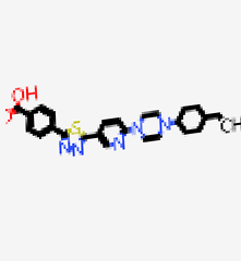 CCC1CCC(N2CCN(c3ccc(-c4nnc(-c5ccc(C(=O)O)cc5)s4)cn3)CC2)CC1